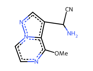 COc1nccn2ncc(C(N)C#N)c12